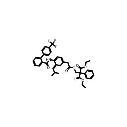 CCOC(=O)C(COC(=O)CC1=CC=C(NC(=O)c2ccccc2-c2ccc(C(F)(F)F)cc2)C(=CC(C)C)C1)(C(=O)OCC)c1ccccc1